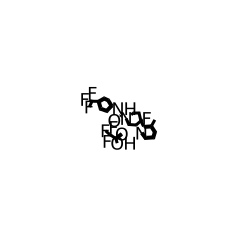 Cc1cccnc1C1(F)CCN(C(=O)Nc2ccc(C(F)(F)F)cc2)CC1.O=C(O)C(F)(F)F